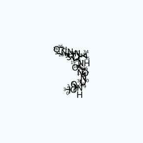 CC(C)(C)OC(=O)N[C@H]1CCN(c2nc(C(=O)Nc3cc4sc(N5CCOCC5)nc4nc3C3CC3)co2)C1